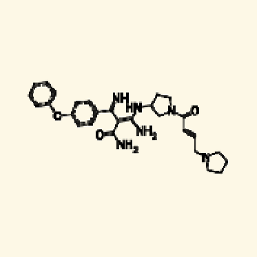 N=C(/C(C(N)=O)=C(/N)NC1CCN(C(=O)/C=C/CN2CCCC2)C1)c1ccc(Oc2ccccc2)cc1